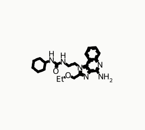 CCOCc1nc2c(N)nc3ccccc3c2n1CCNC(=O)NC1CCCCC1